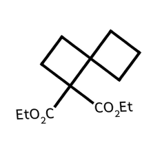 CCOC(=O)C1(C(=O)OCC)CCC12CCC2